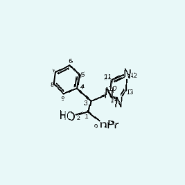 CCCC(O)C(c1ccccc1)n1cncn1